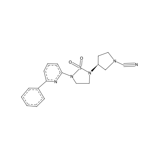 N#CN1CC[C@H](N2CCN(c3cccc(-c4ccccc4)n3)S2(=O)=O)C1